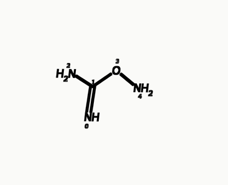 N=C(N)ON